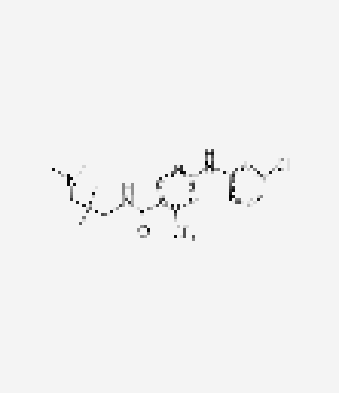 CN(C)CC(C)(C)CNC(=O)c1cnc(Nc2cccc(Cl)c2)cc1C(F)(F)F